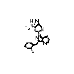 Nc1cnc(-n2nc(Cc3ccccc3F)c3ncccc32)nc1N